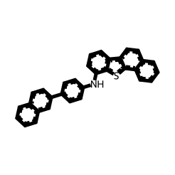 c1ccc2cc(-c3ccc(Nc4cccc5c4sc4c6ccccc6ccc54)cc3)ccc2c1